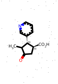 CC1C(=O)C[C@H](C(=O)O)[C@H]1c1cccnc1